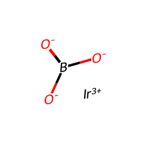 [Ir+3].[O-]B([O-])[O-]